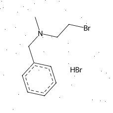 Br.CN(CCBr)Cc1ccccc1